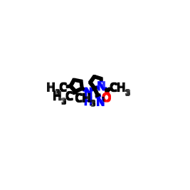 CC(=O)N1CCCC1(C#N)NC1CCC(C)C1(C)C